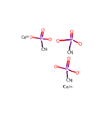 N#CP(=O)([O-])[O-].N#CP(=O)([O-])[O-].N#CP(=O)([O-])[O-].[Ce+3].[Ce+3]